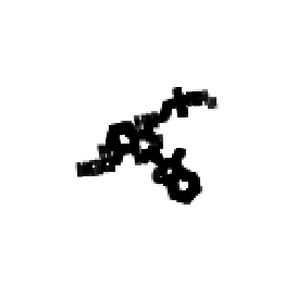 Cc1c(-c2nc(NCCC(C)(C)N)c3cccc(C)c3n2)oc2ccccc12.Cl.Cl